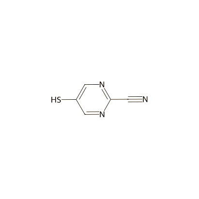 N#Cc1ncc(S)cn1